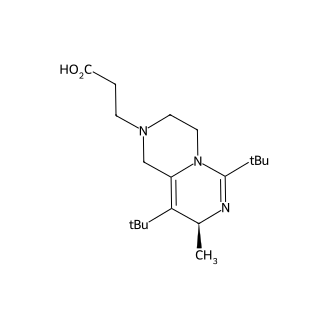 C[C@@H]1N=C(C(C)(C)C)N2CCN(CCC(=O)O)CC2=C1C(C)(C)C